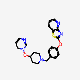 C1=CN=CN(OC2CCN(Cc3ccc(Oc4nc5ncccc5s4)cc3)CC2)C1